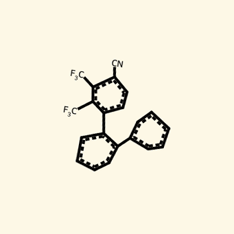 N#Cc1ccc(-c2ccccc2-c2ccccc2)c(C(F)(F)F)c1C(F)(F)F